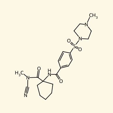 CN1CCN(S(=O)(=O)c2ccc(C(=O)NC3(C(=O)N(C)C#N)CCCCC3)cc2)CC1